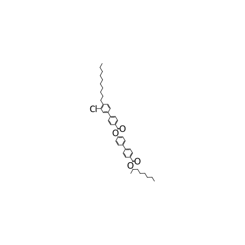 CCCCCCCCCCc1ccc(-c2ccc(C(=O)Oc3ccc(-c4ccc(C(=O)OC(C)CCCCCC)cc4)cc3)cc2)cc1Cl